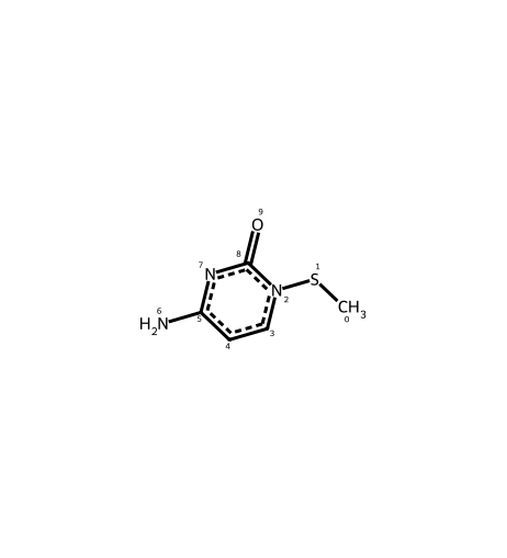 CSn1ccc(N)nc1=O